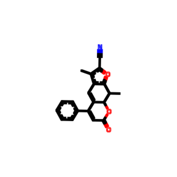 Cc1c(C#N)oc2c1C=C1C(c3ccccc3)=CC(=O)OC1C2C